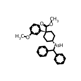 COc1cccc([C@]2(C(=O)OC)CC[C@H]([AsH]C(c3ccccc3)c3ccccc3)CC2)c1